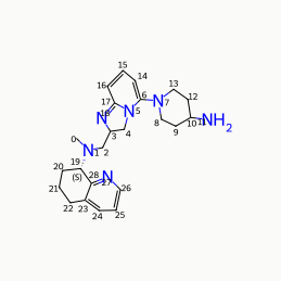 CN(CC1CN2C(N3CCC(N)CC3)=CC=CC2=N1)[C@H]1CCCc2cccnc21